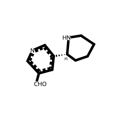 O=Cc1cncc([C@H]2CCCCN2)c1